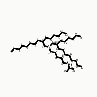 CCCCCCCCC(CCCCCC)CN(CCCCCNC(C)C)CC(CCCCCC)CCCCCCCC